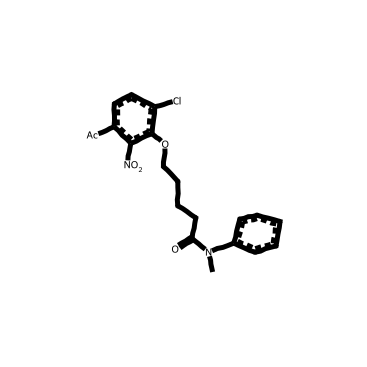 CC(=O)c1ccc(Cl)c(OCCCCC(=O)N(C)c2ccccc2)c1[N+](=O)[O-]